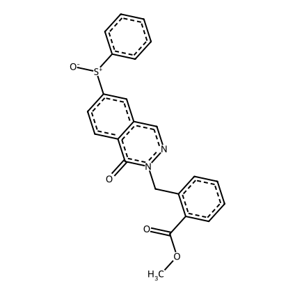 COC(=O)c1ccccc1Cn1ncc2cc([S+]([O-])c3ccccc3)ccc2c1=O